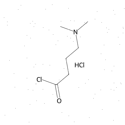 CN(C)CCCC(=O)Cl.Cl